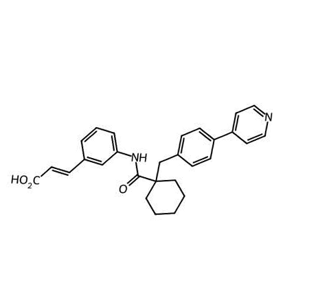 O=C(O)/C=C/c1cccc(NC(=O)C2(Cc3ccc(-c4ccncc4)cc3)CCCCC2)c1